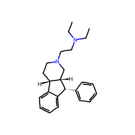 CCN(CC)CCN1CC[C@H]2c3ccccc3[C@@H](c3ccccc3)[C@H]2C1